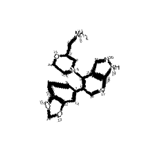 NCC1CN(c2c(-c3ccc4c(c3)OCO4)cnc3[nH]ncc23)CCO1